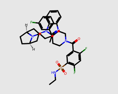 CCNS(=O)(=O)c1cc(C(=O)N2CCC(CCN3[C@@H]4CC[C@H]3C[C@@H](n3c(C)nc5ccccc53)C4)(c3cccc(F)c3)CC2)c(F)cc1F